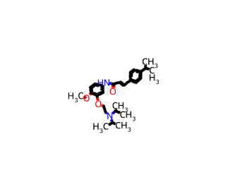 COc1ccc(NC(=O)C=Cc2ccc(C(C)C)cc2)cc1OCCN(C(C)C)C(C)C